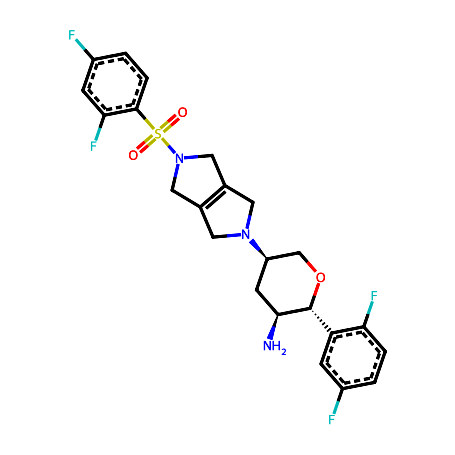 N[C@H]1C[C@@H](N2CC3=C(C2)CN(S(=O)(=O)c2ccc(F)cc2F)C3)CO[C@@H]1c1cc(F)ccc1F